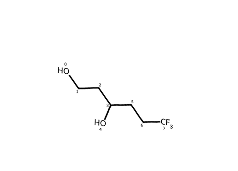 OCCC(O)CCC(F)(F)F